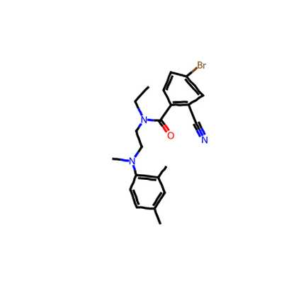 CCN(CCN(C)c1ccc(C)cc1C)C(=O)c1ccc(Br)cc1C#N